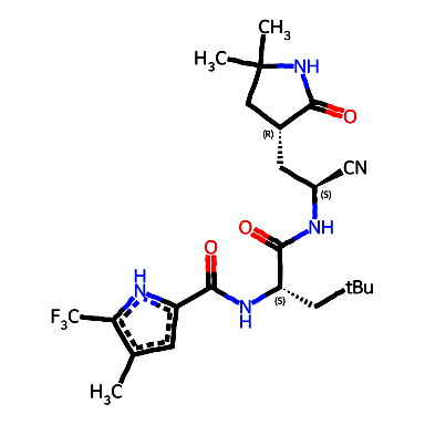 Cc1cc(C(=O)N[C@@H](CC(C)(C)C)C(=O)N[C@H](C#N)C[C@@H]2CC(C)(C)NC2=O)[nH]c1C(F)(F)F